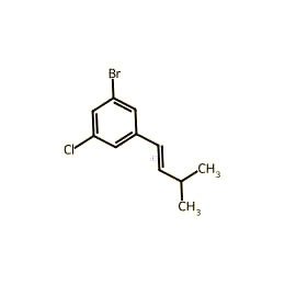 CC(C)/C=C/c1cc(Cl)cc(Br)c1